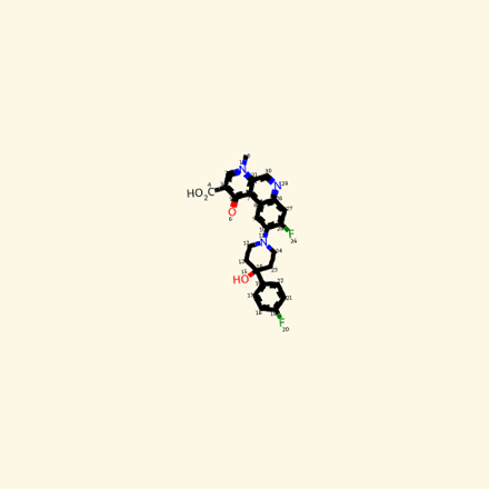 Cn1cc(C(=O)O)c(=O)c2c3cc(N4CCC(O)(c5ccc(F)cc5)CC4)c(F)cc3ncc21